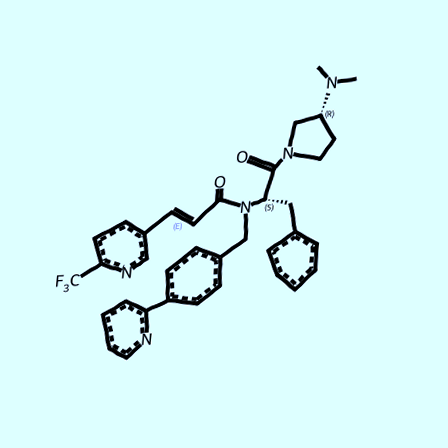 CN(C)[C@@H]1CCN(C(=O)[C@H](Cc2ccccc2)N(Cc2ccc(-c3ccccn3)cc2)C(=O)/C=C/c2ccc(C(F)(F)F)nc2)C1